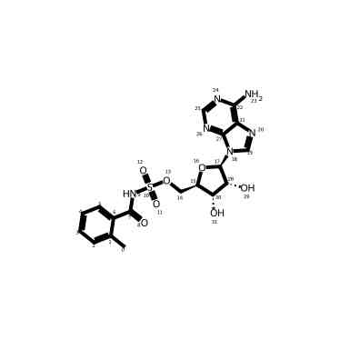 Cc1ccccc1C(=O)NS(=O)(=O)OC[C@H]1O[C@@H](n2cnc3c(N)ncnc32)[C@H](O)[C@@H]1O